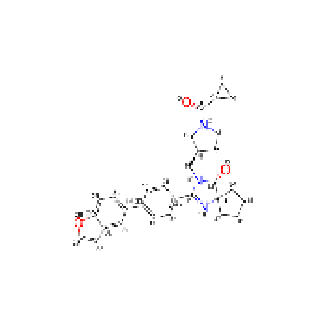 O=C(C1CC1)N1CC[C@@H](CN2C(=O)C3(CCCC3)N=C2c2ccc(-c3ccc4occc4c3)cc2)C1